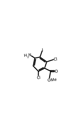 COC(=O)c1c(Cl)cc(N)c(I)c1Cl